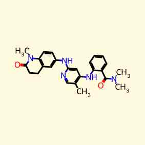 Cc1cnc(Nc2ccc3c(c2)CCC(=O)N3C)cc1Nc1ccccc1C(=O)N(C)C